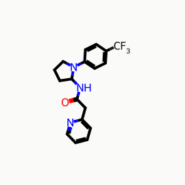 O=C(Cc1ccccn1)NC1CCCN1c1ccc(C(F)(F)F)cc1